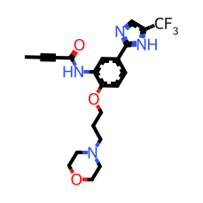 CC#CC(=O)Nc1cc(-c2ncc(C(F)(F)F)[nH]2)ccc1OCCCN1CCOCC1